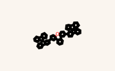 c1ccc2c(c1)-c1cc(-c3ccc4c(c3)C3(c5ccccc5-c5ccccc53)c3ccccc3-4)ccc1Oc1ccc(-c3ccc4c(c3)C3(c5ccccc5-c5ccccc53)c3ccccc3-4)cc1-2